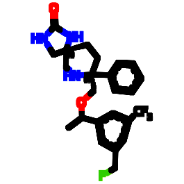 CC(OC[C@@]1(c2ccccc2)CC[C@]2(CNC(=O)N2)CN1)c1cc(CF)cc(C(F)(F)F)c1